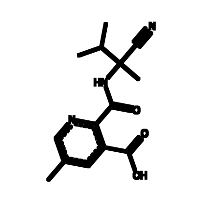 Cc1cnc(C(=O)NC(C)(C#N)C(C)C)c(C(=O)O)c1